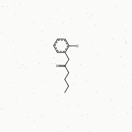 CCCCC(=O)Cc1ccccc1Cl